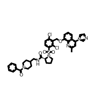 Cc1cc(-n2ccnc2)c2cccc(OCc3c(Cl)ccc(S(=O)(=O)N4CCC[C@H]4C(=O)NCC4CCN(C(=O)c5ccccc5)CC4)c3Cl)c2n1